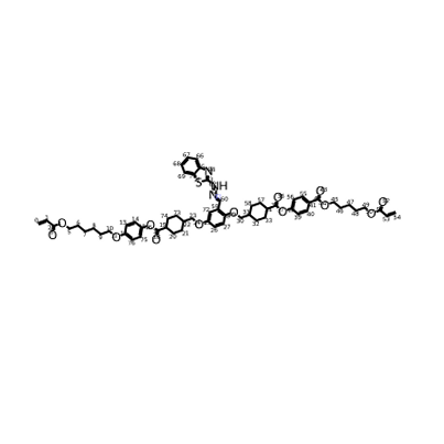 C=CC(=O)OCCCCCCOc1ccc(OC(=O)C2CCC(COc3ccc(OCC4CCC(C(=O)Oc5ccc(C(=O)OCCCCCOC(=O)C=C)cc5)CC4)c(/C=N/Nc4nc5ccccc5s4)c3)CC2)cc1